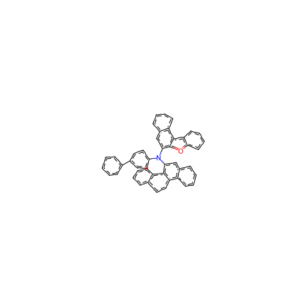 c1ccc(-c2ccc(N(c3cc4ccccc4c4c3oc3ccccc34)c3cc4ccccc4c4ccc5ccccc5c34)cc2)cc1